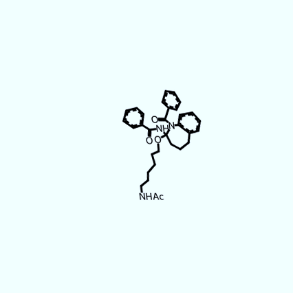 CC(=O)NCCCCCCOC1(NC(=O)c2ccccc2)CCCc2ccccc2N1C(=O)c1ccccc1